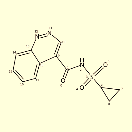 O=C(NS(=O)(=O)C1CC1)c1cnnc2ccccc12